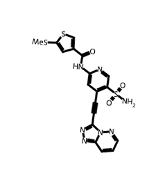 CSc1cc(C(=O)Nc2cc(C#Cc3nnc4cccnn34)c(S(N)(=O)=O)cn2)cs1